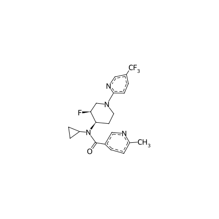 Cc1ccc(C(=O)N(C2CC2)[C@@H]2CCN(c3ccc(C(F)(F)F)cn3)C[C@@H]2F)cn1